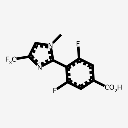 Cn1cc(C(F)(F)F)nc1-c1c(F)cc(C(=O)O)cc1F